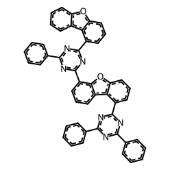 c1ccc(-c2nc(-c3cccc4c3oc3cccc(-c5nc(-c6ccccc6)nc(-c6ccccc6)n5)c34)nc(-c3cccc4oc5ccccc5c34)n2)cc1